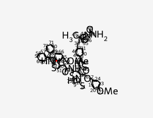 CON=C(C(=O)NC1S[C@H]2CC(=S)N2C(C(=O)OCc2ccc(OC)cc2)=C1c1nc(-c2ccc(C[N+]34CC[N+](C(N)=O)(CC3)CC4C)cc2)cs1)c1csc(NC(c2ccccc2)(c2ccccc2)c2ccccc2)n1